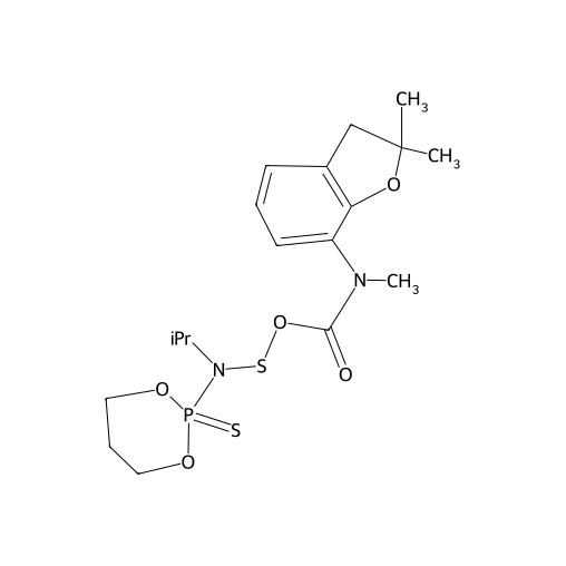 CC(C)N(SOC(=O)N(C)c1cccc2c1OC(C)(C)C2)P1(=S)OCCCO1